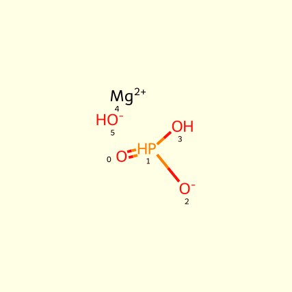 O=[PH]([O-])O.[Mg+2].[OH-]